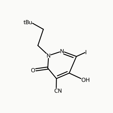 CC(C)(C)CCn1nc(I)c(O)c(C#N)c1=O